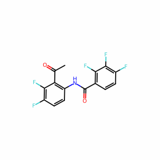 CC(=O)c1c(NC(=O)c2ccc(F)c(F)c2F)ccc(F)c1F